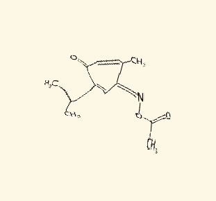 CC(=O)O/N=C1\C=C(C(C)C)C(=O)C=C1C